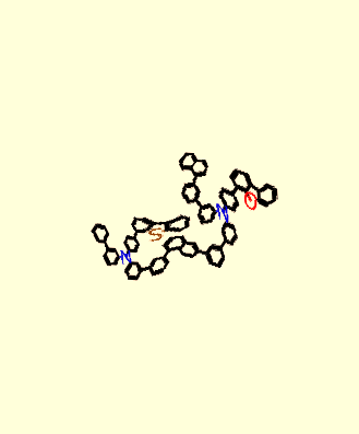 c1ccc(-c2cccc(N(c3ccc(-c4cccc5c4sc4ccccc45)cc3)c3cccc(-c4cccc(-c5cccc6cc(-c7cccc(-c8cccc(N(c9ccc(-c%10cccc%11c%10oc%10ccccc%10%11)cc9)c9cccc(-c%10cccc(-c%11cccc%12ccccc%11%12)c%10)c9)c8)c7)ccc56)c4)c3)c2)cc1